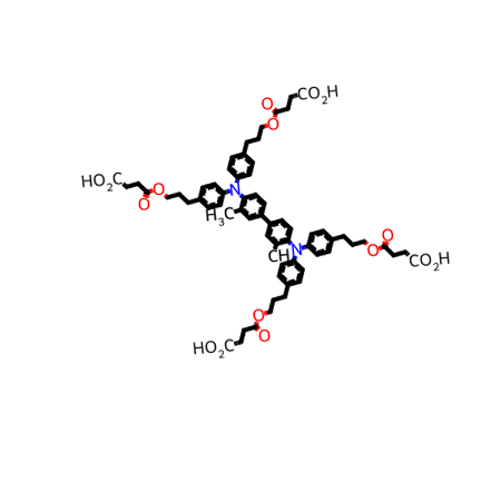 Cc1cc(-c2ccc(N(c3ccc(CCCOC(=O)CCC(=O)O)cc3)c3ccc(CCCOC(=O)CCC(=O)O)cc3)c(C)c2)ccc1N(c1ccc(CCCOC(=O)CCC(=O)O)cc1)c1ccc(CCCOC(=O)CCC(=O)O)cc1